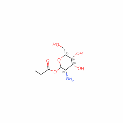 CCC(=O)OC1O[C@H](CO)[C@H](O)[C@H](O)[C@H]1N